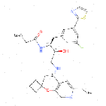 COCC(=O)N[C@@H](Cc1cc(F)cc(-c2nccs2)c1)[C@@H](O)CN[C@H]1CC2(CCC2)Oc2cnc(CC(C)(C)C)cc21